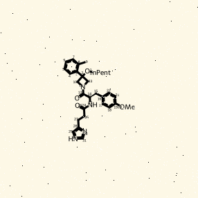 CCCCCOC1(c2ccccc2C)CN(C(=O)[C@@H](Cc2ccc(OC)cc2)NC(=O)CCc2c[nH]cn2)C1